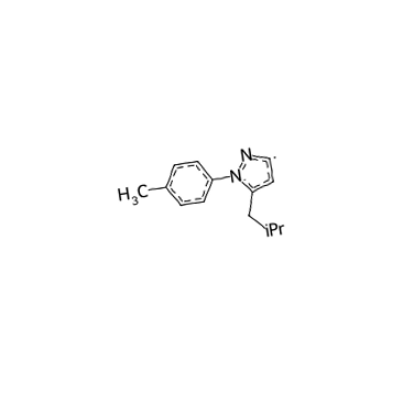 Cc1ccc(-n2n[c]cc2CC(C)C)cc1